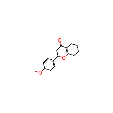 COC1C=CC(C2CC(=O)C3=C(CCCC3)O2)=CC1